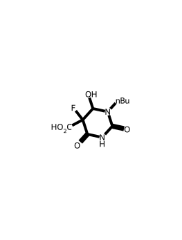 CCCCN1C(=O)NC(=O)C(F)(C(=O)O)C1O